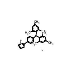 Cc1cc(C)c(B(c2ccc(-c3ccc[nH]3)cc2)c2c(C)cc(C)cc2C)c(C)c1.[Ir]